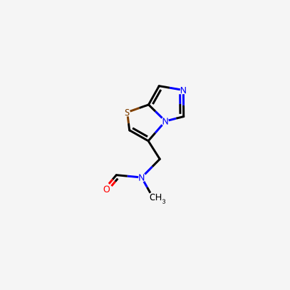 CN(C=O)Cc1csc2cncn12